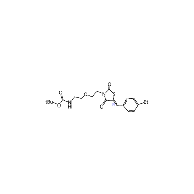 CCc1ccc(/C=C2\SC(=O)N(CCOCCNC(=O)OC(C)(C)C)C2=O)cc1